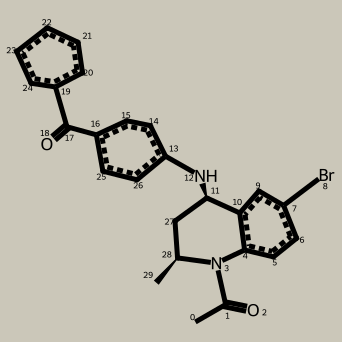 CC(=O)N1c2ccc(Br)cc2[C@H](Nc2ccc(C(=O)c3ccccc3)cc2)C[C@@H]1C